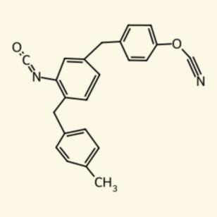 Cc1ccc(Cc2ccc(Cc3ccc(OC#N)cc3)cc2N=C=O)cc1